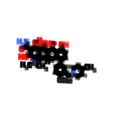 COc1ccc(-c2ccc(O)c3c2C[C@H]2C[C@H]4[C@H](N(C)C)C(O)=C(C(N)=O)C(=O)[C@@]4(O)C(O)=C2C3=O)cc1CN1CCC(C)CC1